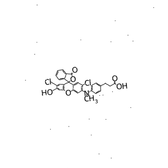 CN(c1ccc(CCC(=O)O)cc1)c1cc2c(cc1Cl)C1(OC(=O)c3ccccc31)c1cc(Cl)c(O)cc1O2